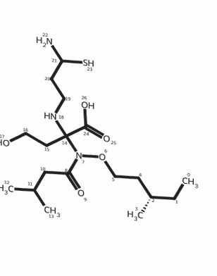 CC[C@H](C)CCON(C(=O)CC(C)C)C(CCO)(NCCC(N)S)C(=O)O